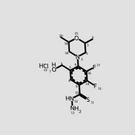 CC1CN(c2c(CO)cc(C(=S)NN)c(F)c2F)CC(C)O1.Cl